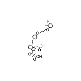 CC(C)(C(=O)O)C(=O)c1cn(CC(=O)O)c2c(C=Cc3ccc(OCCCCOc4cccc(F)c4F)cc3)cccc12